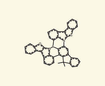 CC1(C)c2ccccc2-c2cc3c4c(c21)-c1cccc2c5c6ccccc6oc5n(c12)B4c1cccc2c4c5ccccc5sc4n-3c12